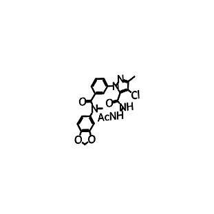 CC(=O)NNC(=O)c1c(Cl)c(C)nn1-c1cccc(C(=O)N(C)c2ccc3c(c2)OCO3)c1